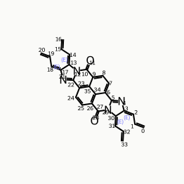 C=C/C=c1/nc2c3ccc4c(=O)n5c(=C/C=C)/c(=C\C=C)nc5c5ccc(c(=O)n2/c1=C/C=C)c3c45